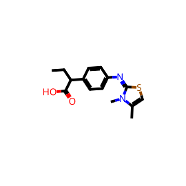 CCC(C(=O)O)c1ccc(N=c2scc(C)n2C)cc1